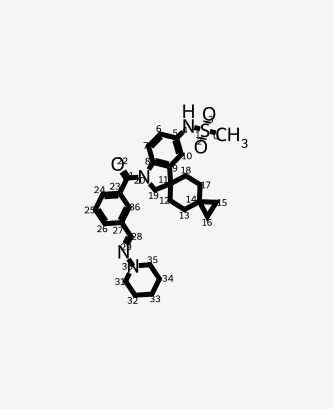 CS(=O)(=O)Nc1ccc2c(c1)C1(CCC3(CC3)CC1)CN2C(=O)c1cccc(C=NN2CCCCC2)c1